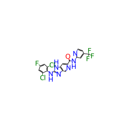 O=C(Nc1cc(C(F)(F)F)ccn1)c1cc2[nH]c(Nc3c(Cl)cc(F)cc3Cl)nc2cn1